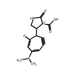 CN(C)C1=CC#CC(C2CNC(=O)[C@H]2C(=O)O)C(F)=C1